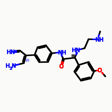 CNCCN[C@H](C(=O)Nc1ccc(/C(C=N)=C/N)cc1)c1cccc(OC)c1